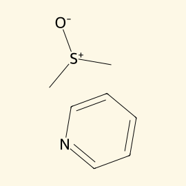 C[S+](C)[O-].c1ccncc1